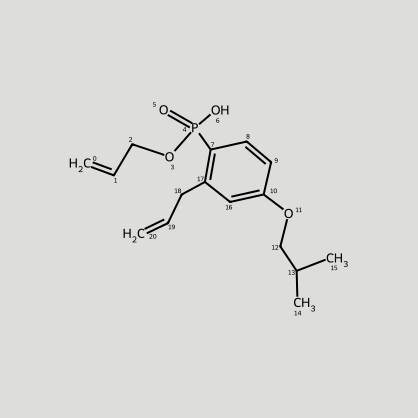 C=CCOP(=O)(O)c1ccc(OCC(C)C)cc1CC=C